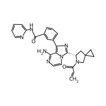 C=CC(=O)N1CC2(CC2)C[C@H]1c1nc(-c2cccc(C(=O)Nc3ccccn3)c2)c2c(N)nccn12